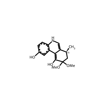 COC1(OC)C[C@H](C)C2=CNc3ccc(O)cc3C2=C1O